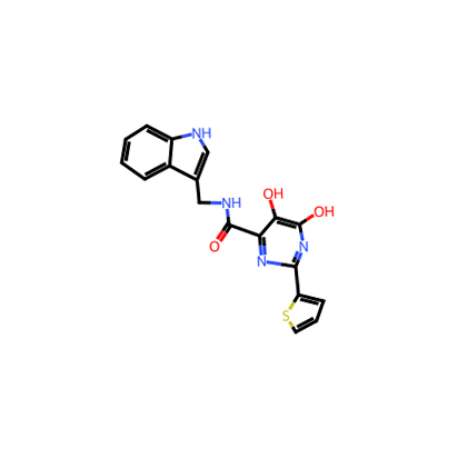 O=C(NCc1c[nH]c2ccccc12)c1nc(-c2cccs2)nc(O)c1O